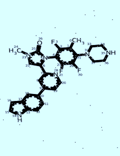 Cc1c(F)c(-n2c(-c3cc(-c4ccc5[nH]ccc5c4)ccn3)cn(C)c2=O)c(F)c(F)c1N1CCNCC1